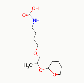 C[C@H](COCCCCNC(=O)O)OC1CCCCO1